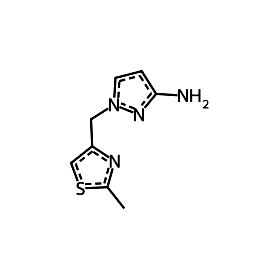 Cc1nc(Cn2ccc(N)n2)cs1